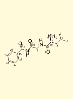 CC(C)C[C@H](N)C(=O)NCC(=O)NC(=O)c1ccccc1